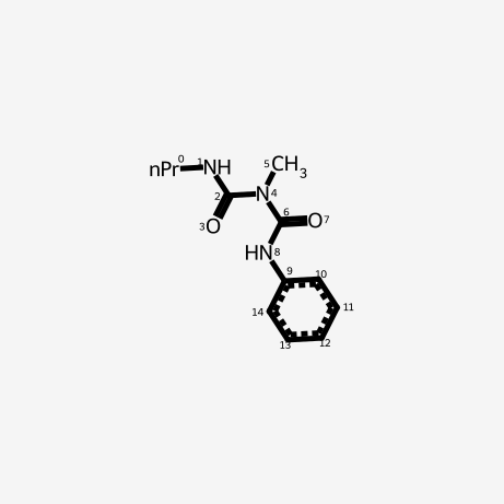 CCCNC(=O)N(C)C(=O)Nc1ccccc1